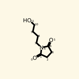 O=C1CCC(=O)N1CCCCO